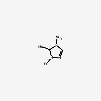 CCN1N=CN([N+](=O)[O-])C1C(C)(C)C